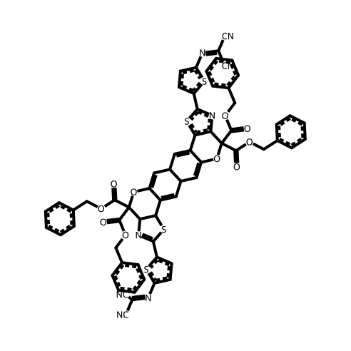 N#CC(C#N)=Nc1ccc(C2=NC3C(S2)C2=CC4C=C5OC(C(=O)OCc6ccccc6)(C(=O)OCc6ccccc6)c6nc(-c7ccc(N=C(C#N)C#N)s7)sc6C5=CC4C=C2OC3(C(=O)OCc2ccccc2)C(=O)OCc2ccccc2)s1